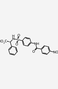 O=C(Nc1ccc(S(=O)(=O)N[C@H](C(=O)O)c2ccccc2)cc1)c1ccc([N+](=O)[O-])cc1